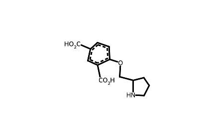 O=C(O)c1ccc(OCC2CCCN2)c(C(=O)O)c1